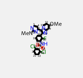 CNc1nccc(-c2c(-c3cccc(NS(=O)(=O)c4c(Cl)cccc4Cl)c3F)nc3cc(OC)ccn23)n1